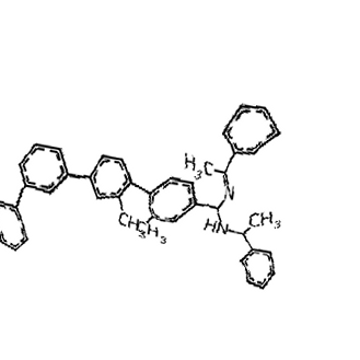 C/C(=N\C(NC(C)c1ccccc1)c1ccc(-c2ccc(-c3cccc(-c4ccccc4)c3)cc2C)c(C)c1)c1ccccc1